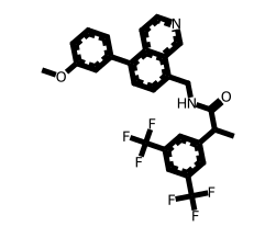 COc1cccc(-c2ccc(CNC(=O)C(C)c3cc(C(F)(F)F)cc(C(F)(F)F)c3)c3cnccc23)c1